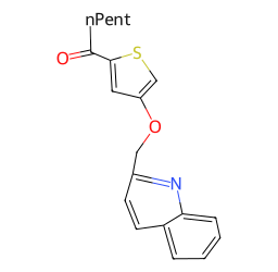 CCCCCC(=O)c1cc(OCc2ccc3ccccc3n2)cs1